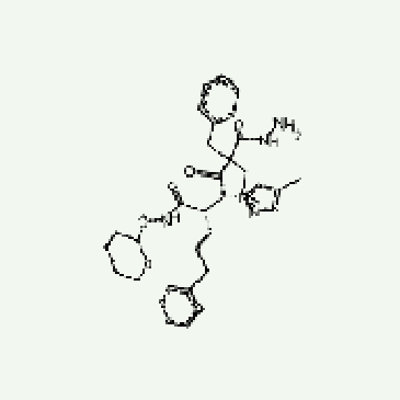 CCCC(Cc1ccccc1)(C(=O)NN)C(=O)[C@@H]([C@H](CCCc1ccccc1)C(=O)NOC1CCCCO1)n1cc(C)nn1